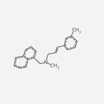 Cc1cccc(/C=C/CN(C)Cc2cccc3ccccc23)c1